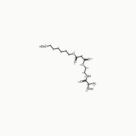 CCCCCCCCCCCCCCCCOC(=O)CC(=O)OCCNC(=O)C(CCCCCCCCCC)C(C)=O